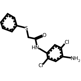 Nc1cc(Cl)c(NC(=O)CSc2ccccc2)cc1Cl